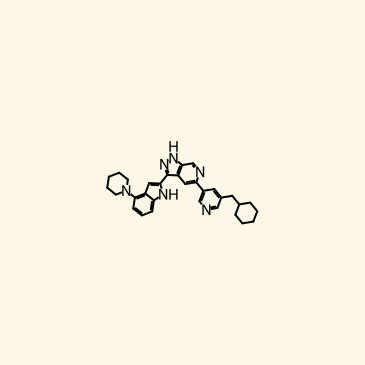 c1cc(N2CCCCC2)c2cc(-c3n[nH]c4cnc(-c5cncc(CC6CCCCC6)c5)cc34)[nH]c2c1